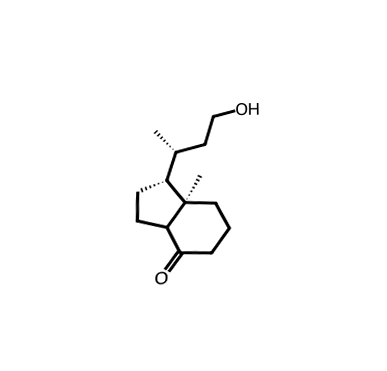 C[C@H](CCO)[C@H]1CCC2C(=O)CCC[C@@]21C